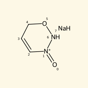 O=[N+]1C=CCON1.[NaH]